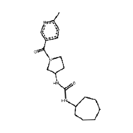 Cc1ccc(C(=O)N2CCC(NC(=O)NC3CCCCCC3)C2)cn1